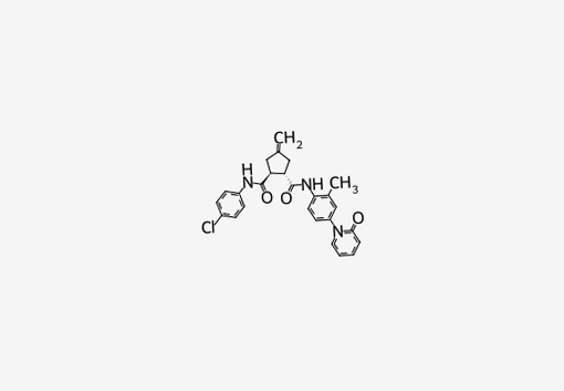 C=C1C[C@H](C(=O)Nc2ccc(Cl)cc2)[C@@H](C(=O)Nc2ccc(-n3ccccc3=O)cc2C)C1